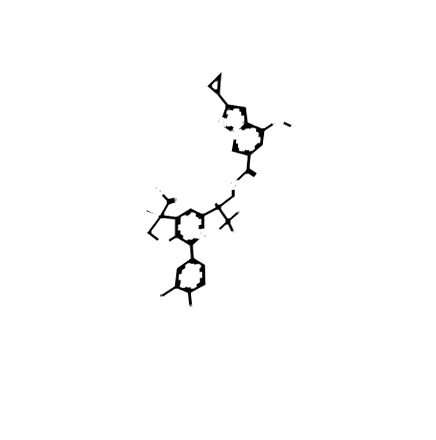 COc1cc(C(=O)NCC(O)(c2cc3c(c(-c4ccc(F)c(Cl)c4)n2)OC[C@]3(C)C(N)=O)C(F)(F)F)cn2nc(C3CC3)cc12